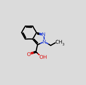 CCn1nc2ccccc2c1C(=O)O